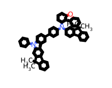 CC1(C)c2ccccc2-c2ccc(N(c3ccc(-c4ccc5c(c4)c4cc6c(cc4n5-c4ccccc4)C(C)(C)c4ccccc4-6)cc3)c3cccc4oc5ccccc5c34)cc21